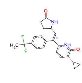 CC(F)(F)c1ccc(/C(=C\C2CCC(=O)N2)c2ccc(C3CC3)c(=O)[nH]2)cc1